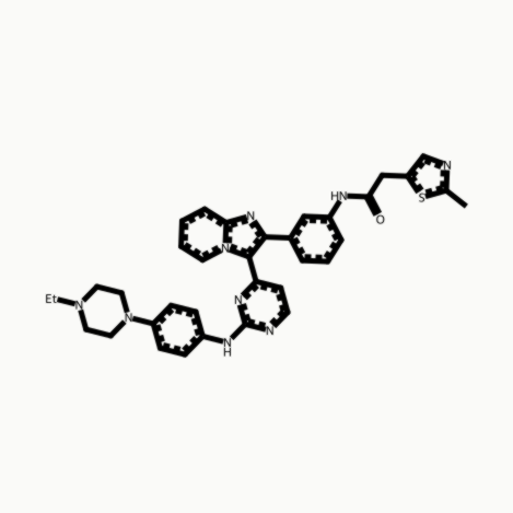 CCN1CCN(c2ccc(Nc3nccc(-c4c(-c5cccc(NC(=O)Cc6cnc(C)s6)c5)nc5ccccn45)n3)cc2)CC1